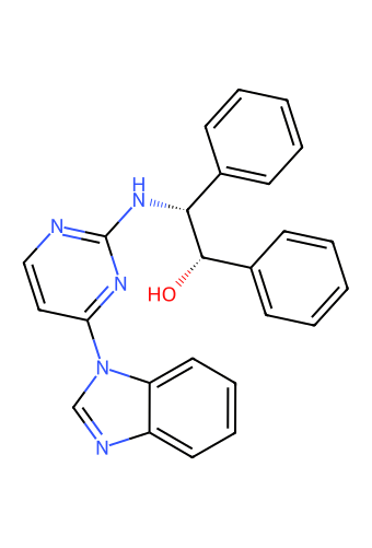 O[C@@H](c1ccccc1)[C@H](Nc1nccc(-n2cnc3ccccc32)n1)c1ccccc1